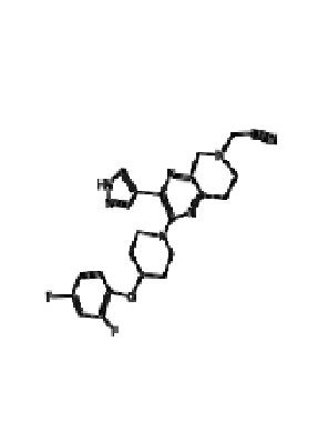 N#CCN1CCc2nc(N3CCC(Oc4ccc(F)cc4F)CC3)c(-c3cn[nH]c3)nc2C1